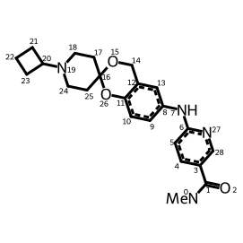 CNC(=O)c1ccc(Nc2ccc3c(c2)COC2(CCN(C4CCC4)CC2)O3)nc1